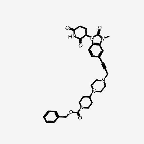 Cn1c(=O)n(C2CCC(=O)NC2=O)c2ccc(C#CCN3CCN(C4CCN(C(=O)OCc5ccccc5)CC4)CC3)cc21